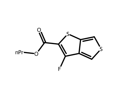 CCCOC(=O)c1sc2cscc2c1F